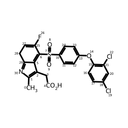 CC1=C(CC(=O)O)C2=C(S(=O)(=O)c3ccc(Oc4ccc(Cl)cc4Cl)cc3)C(F)=CCC2=N1